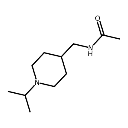 CC(=O)NCC1CCN(C(C)C)CC1